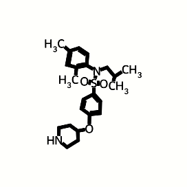 Cc1ccc(N(CC(C)C)S(=O)(=O)c2ccc(OC3CCNCC3)cc2)c(C)c1